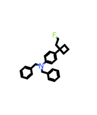 FCCC1(c2ccc(N(Cc3ccccc3)Cc3ccccc3)cc2)CCC1